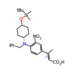 C/C(=C\C(=O)O)c1ccc(N(CC(C)C)[C@H]2CC[C@H](O[Si](C)(C)C(C)(C)C)CC2)c([N+](=O)[O-])c1